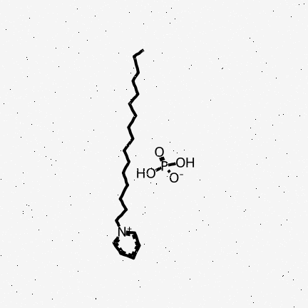 CCCCCCCCCCCCCCCC[n+]1ccccc1.O=P([O-])(O)O